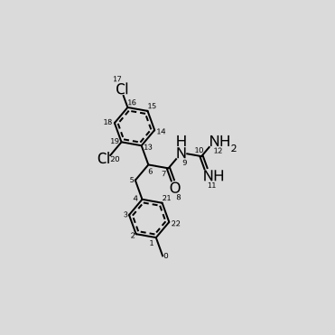 Cc1ccc(CC(C(=O)NC(=N)N)c2ccc(Cl)cc2Cl)cc1